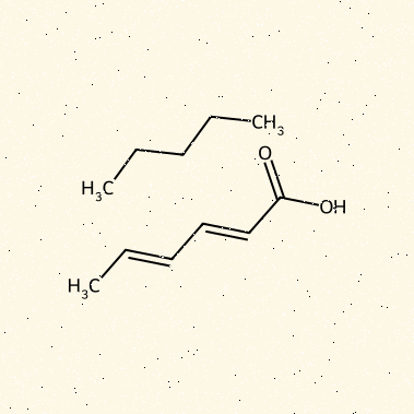 C/C=C/C=C/C(=O)O.CCCCC